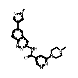 CN1CCN(c2cc(C(=O)Nc3cc4cc(-c5cnn(C)c5)ccc4nn3)cnn2)CC1